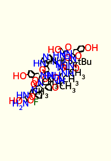 CCC[C@H](NC(C)=O)C(=O)N[C@@H](CO)C(=O)N[C@@H](Cc1ccc(O)cc1)C(=O)N[C@H](C(=O)N[C@@H](C)C(=O)N[C@@H](CN=[N+]=[N-])C(=O)N(C)[C@@H](C)C(=O)N[C@H](C(=O)N[C@@H](Cc1c[nH]c2ncccc12)C(=O)N[C@@H](Cc1ccc(O)cc1)C(=O)N(C)[C@@H](Cc1ccc(F)cc1)C(=O)N(C)CC(=O)N[C@@H](CO)C(N)=O)c1ccccc1)C(C)(C)C